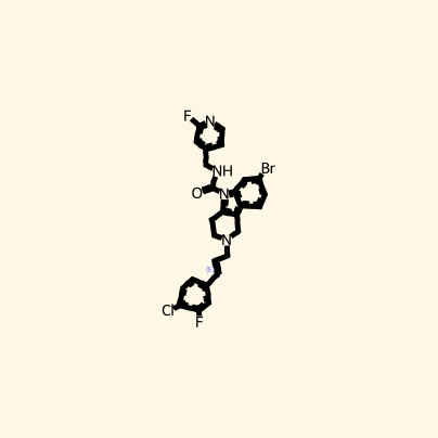 O=C(NCc1ccnc(F)c1)n1c2c(c3ccc(Br)cc31)CN(C/C=C/c1ccc(Cl)c(F)c1)CC2